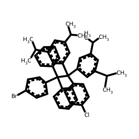 CC(C)c1cc(C(C)C)cc(C(c2ccc(Cl)cc2)(c2cc(C(C)C)cc(C(C)C)c2)C(c2ccccc2)(c2ccccc2)c2ccc(Br)cc2)c1